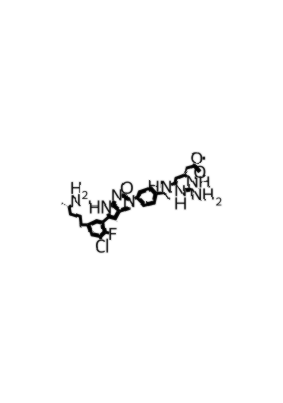 COC(=O)C[C@H](CCN[C@@H](C)c1ccc(-n2cc3cc(-c4cc(CCC[C@H](C)N)cc(Cl)c4F)[nH]c3nc2=O)cc1)NC(=N)N